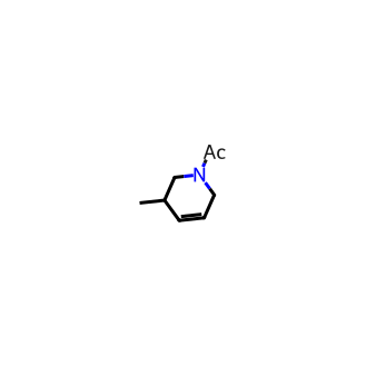 CC(=O)N1CC=CC(C)C1